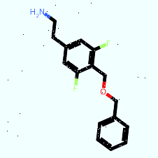 NCCc1cc(F)c(COCc2ccccc2)c(F)c1